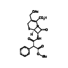 CC(=O)OCC1=C(C(=O)O)N2C(=O)[C@@H](NC(=O)C(C(=O)OC(C)(C)C)c3ccccc3)[C@H]2SC1